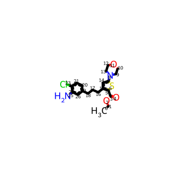 CCOC(=O)c1sc(N2CCOCC2)cc1CCCc1ccc(Cl)c(N)c1